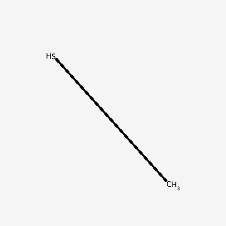 CC#CC#CC#CC#CC#CC#CC#CC#CC#CC#CC#CC#CC#CC#CC#CC#CC#CC#CC#CC#CC#CC#CC#CS